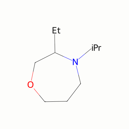 CCC1COCCCN1C(C)C